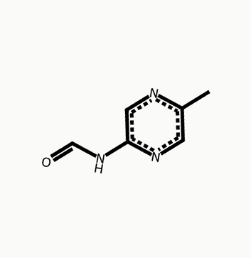 Cc1cnc(NC=O)cn1